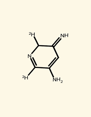 [2H]C1=NC([2H])C(=N)C=C1N